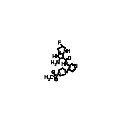 CS(=O)(=O)N1CCN(c2ccncc2NC(=O)C2C(N)NN3CC(F)CNC23)CC1